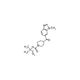 Cn1cnc2ccc(C(=O)C3CCN(C(=O)OC(C)(C)C)CC3)cc21